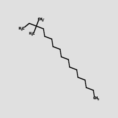 [CH2]C(C)(CC)CCCCCCCCCCCCCC